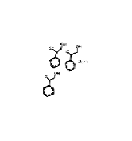 OCC([S-])c1ccccc1.OCC([S-])c1ccccc1.OCC([S-])c1ccccc1.[Sb+3]